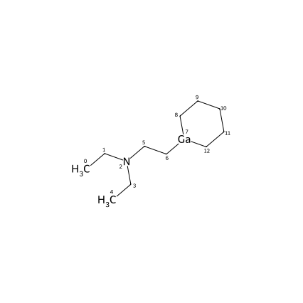 CCN(CC)C[CH2][Ga]1[CH2]CCC[CH2]1